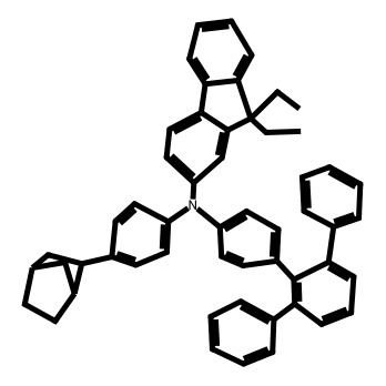 CCC1(CC)c2ccccc2-c2ccc(N(c3ccc(-c4c(-c5ccccc5)cccc4-c4ccccc4)cc3)c3ccc(C4CC5CCC4C5)cc3)cc21